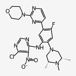 C[C@@H]1CN(c2cc(F)c(-c3ccnc(N4CCOCC4)n3)cc2Nc2ncnc(Cl)c2[N+](=O)[O-])C[C@H](C)N1C